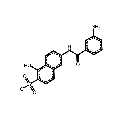 Nc1cccc(C(=O)Nc2ccc3c(O)c(S(=O)(=O)O)ccc3c2)c1